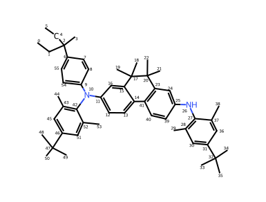 CCC(C)(CC)c1ccc(N(c2ccc3c(c2)C(C)(C)C(C)(C)c2cc(Nc4c(C)cc(C(C)(C)C)cc4C)ccc2-3)c2c(C)cc(C(C)(C)C)cc2C)cc1